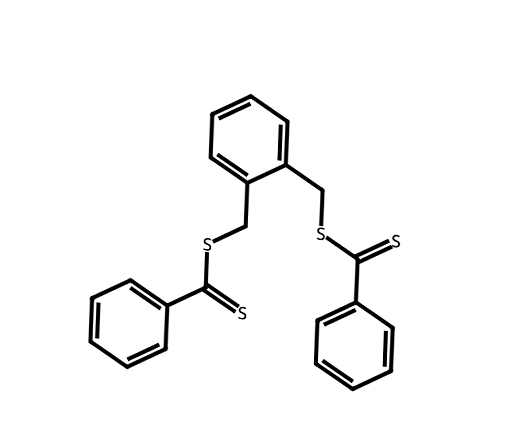 S=C(SCc1ccccc1CSC(=S)c1ccccc1)c1ccccc1